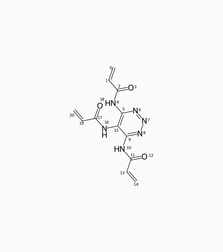 C=CC(=O)Nc1nnnc(NC(=O)C=C)c1NC(=O)C=C